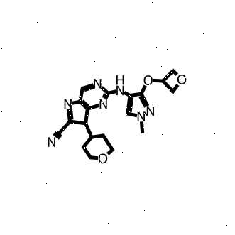 Cn1cc(Nc2ncc3c(n2)C(C2CCOCC2)C(C#N)=N3)c(OC2COC2)n1